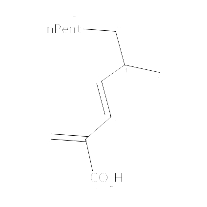 C=C(C=CC(C)CCCCCC)C(=O)O